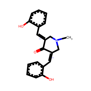 CN1C/C(=C/c2ccccc2O)C(=O)/C(=C/c2ccccc2O)C1